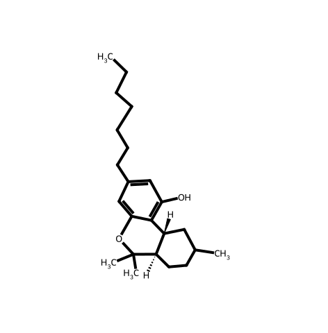 CCCCCCCc1cc(O)c2c(c1)OC(C)(C)[C@@H]1CCC(C)C[C@@H]21